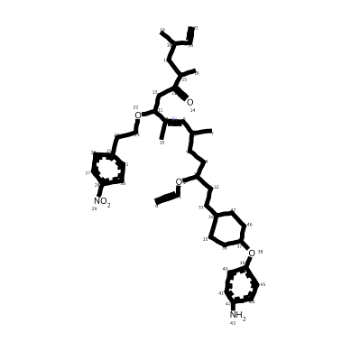 C=COC(CCC(C)/C=C(\C)C(CC(=O)C(C)CC(C)C=C)OCCc1ccc([N+](=O)[O-])cc1)CCC1CCC(Oc2ccc(N)cc2)CC1